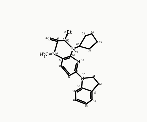 CC[C@@H]1C(=O)N(C)c2ccc(N3CCc4ccccc43)nc2N1C1CCCC1